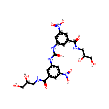 O=C(Nc1cc(C(=O)NCC(O)CO)cc([N+](=O)[O-])c1)Nc1cc(C(=O)NCC(O)CO)cc([N+](=O)[O-])c1